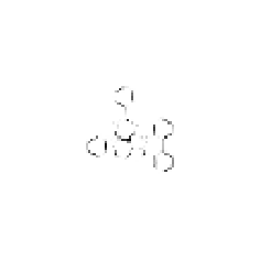 O=P1(c2ccccc2)c2ccccc2-c2ccccc2N1c1nc(-c2ccccc2)nc(-c2ccccc2)n1